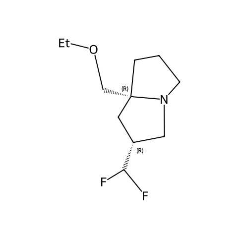 CCOC[C@]12CCCN1C[C@H](C(F)F)C2